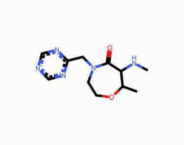 CNC1C(=O)N(Cc2ncncn2)CCOC1C